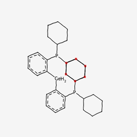 c1ccc(P(C2CCCCC2)C2CCCCC2)[c]([GeH2][c]2ccccc2P(C2CCCCC2)C2CCCCC2)c1